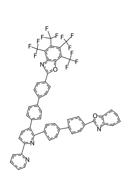 FC(F)(F)c1c(C(F)(F)F)c(C(F)(F)F)c2oc(-c3ccc(-c4ccc(-c5ccc(-c6ccccn6)nc5-c5ccc(-c6ccc(-c7nc8ccccc8o7)cc6)cc5)cc4)cc3)nc2c1C(F)(F)F